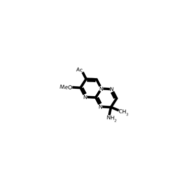 COC1=NC2=NC(C)(N)C=NN2C=C1C(C)=O